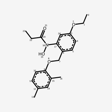 CCOc1ccc(COc2ccc(C)cc2C)c(N(O)C(=O)CC)c1